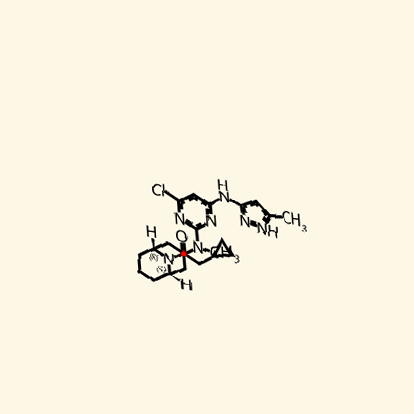 Cc1cc(Nc2cc(Cl)nc(N(C)C3C[C@H]4CCC[C@@H](C3)N4C(=O)CC3CC3)n2)n[nH]1